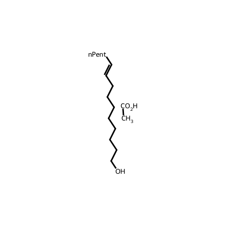 CC(=O)O.CCCCCC=CCCCCCCCCO